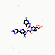 CC(=O)c1nn(CC(=O)N2[C@H](C(=O)Nc3nc(Br)ccc3C)C[C@@]3([C@H](O)CO)C[C@@H]23)c2cnc(-c3cnc(C)nc3)cc12